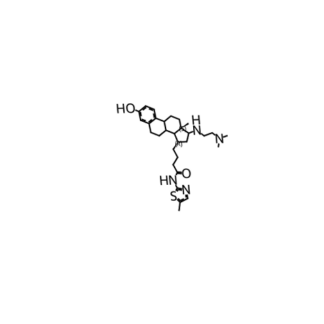 Cc1cnc(NC(=O)CCC[C@@H]2CC(NCCN(C)C)[C@@]3(C)CCC4c5ccc(O)cc5CCC4C23)s1